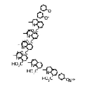 Cc1ccc2cccc(C(=O)O)c2n1.Cc1ccc2cccc(C(=O)O)c2n1.Cc1ccc2cccc(C(=O)O)c2n1.Cc1ccc2cccc(C(=O)O)c2n1.Cc1ccc2cccc(C(=O)O)c2n1.Cc1ccc2cccc(C(=O)O)c2n1.[Al+3].[O-]c1ccccc1.[O-]c1ccccc1.[O-]c1ccccc1